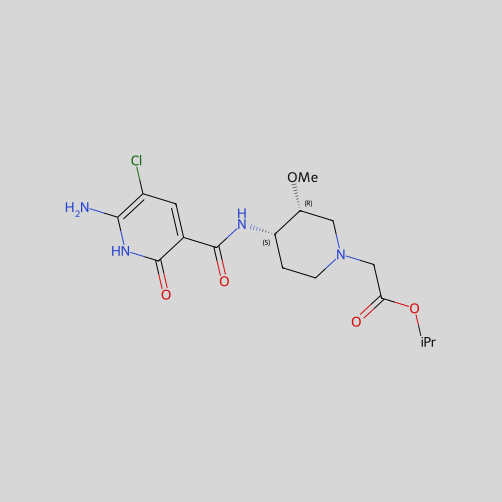 CO[C@@H]1CN(CC(=O)OC(C)C)CC[C@@H]1NC(=O)c1cc(Cl)c(N)[nH]c1=O